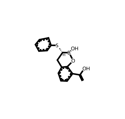 C=C(O)c1cccc2c1OB(O)[C@@H](Sc1ccccc1)C2